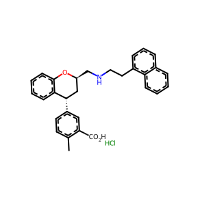 Cc1ccc([C@H]2C[C@H](CNCCc3cccc4ccccc34)Oc3ccccc32)cc1C(=O)O.Cl